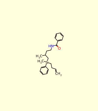 C=CCC[Si](C)(CC(C)CCNC(=O)c1ccccc1)c1ccccc1